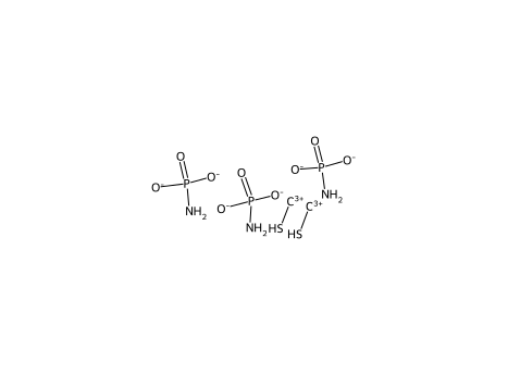 NP(=O)([O-])[O-].NP(=O)([O-])[O-].NP(=O)([O-])[O-].[C+3]S.[C+3]S